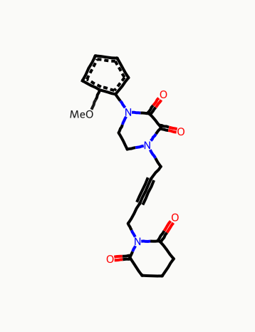 COc1ccccc1N1CCN(CC#CCN2C(=O)CCCC2=O)C(=O)C1=O